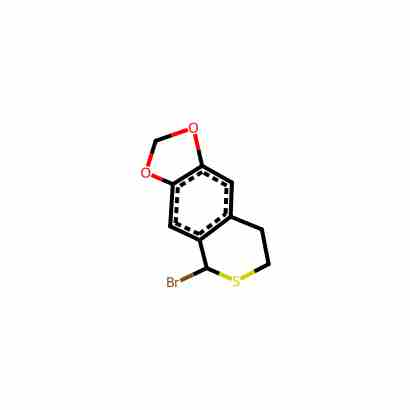 BrC1SCCc2cc3c(cc21)OCO3